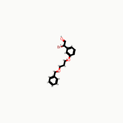 O=CC(Br)c1cccc(OCCCOCc2ccccc2)c1